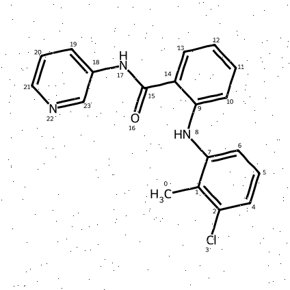 Cc1c(Cl)cccc1Nc1ccccc1C(=O)Nc1cccnc1